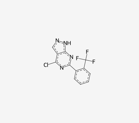 FC(F)(F)c1ccccc1-c1nc(Cl)c2cn[nH]c2n1